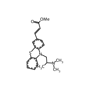 COC(=O)C=Cc1ccc2c(c1)Sc1ccccc1N2CC(C)N(C)C